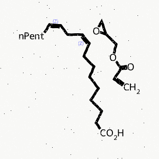 C=CC(=O)OCC1CO1.CCCCC/C=C\C/C=C\CCCCCCCC(=O)O